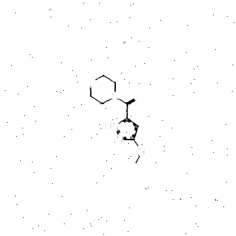 CNc1cc(C(=O)N2CCOCC2)[nH]n1